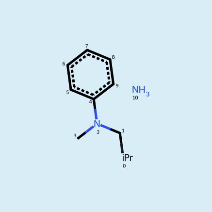 CC(C)CN(C)c1ccccc1.N